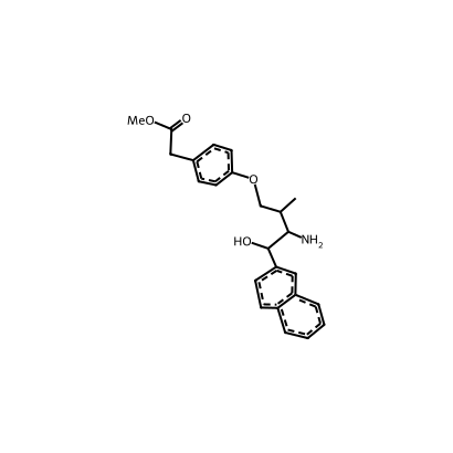 COC(=O)Cc1ccc(OCC(C)C(N)C(O)c2ccc3ccccc3c2)cc1